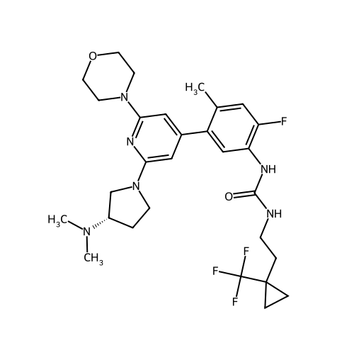 Cc1cc(F)c(NC(=O)NCCC2(C(F)(F)F)CC2)cc1-c1cc(N2CCOCC2)nc(N2CC[C@H](N(C)C)C2)c1